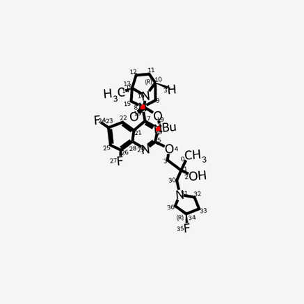 CC(O)(COc1nc(N2C[C@H]3CC[C@@](C)(C2)N3C(=O)OC(C)(C)C)c2cc(F)cc(F)c2n1)CN1CC[C@@H](F)C1